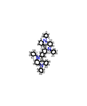 c1ccc(N2c3ccccc3B3c4cc5cc6c(cc5cc4N(c4ccccc4)c4cccc2c43)B2c3ccccc3N(c3ccccc3)c3cccc(c32)N6c2ccccc2)cc1